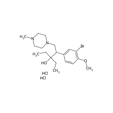 CCC(O)(CC)C(CN1CCN(C)CC1)c1ccc(OC)c(Br)c1.Cl.Cl